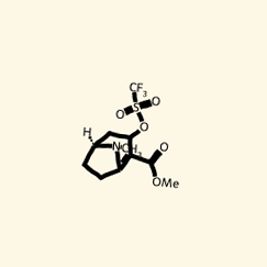 COC(=O)C1=C2CC[C@@H](CC1OS(=O)(=O)C(F)(F)F)N2C